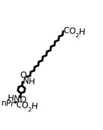 CCCC(NC(=O)C1CCC(CNC(=O)CCCCCCCCCCCCCCCCCCC(=O)O)CC1)C(=O)O